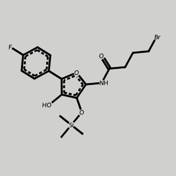 C[Si](C)(C)Oc1c(NC(=O)CCCBr)oc(-c2ccc(F)cc2)c1O